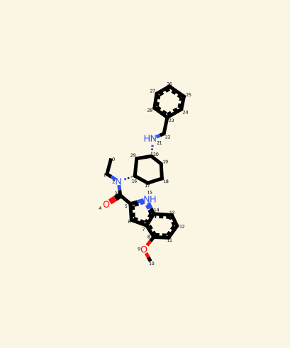 CCN(C(=O)c1cc2c(OC)cccc2[nH]1)[C@H]1CCC[C@@H](NCc2ccccc2)C1